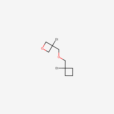 CCC1(COCC2(CC)COC2)CCC1